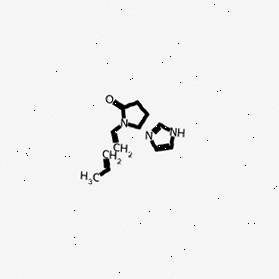 C=CC.C=CN1CCCC1=O.c1c[nH]cn1